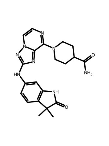 CC1(C)C(=O)Nc2cc(Nc3nc4c(N5CCC(C(N)=O)CC5)nccn4n3)ccc21